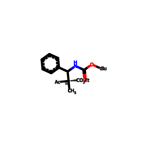 CCOC(=O)[C@](C)(C(C)=O)C(NC(=O)OC(C)(C)C)c1ccccc1